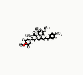 CC(C)(C)OC(=O)CN(CCN(CC(=O)OC(C)(C)C)CC(CCCc1ccc([N+](=O)[O-])cc1)N(CC(=O)OC(C)(C)C)CC(=O)OC(C)(C)C)CC(=O)OC(C)(C)C